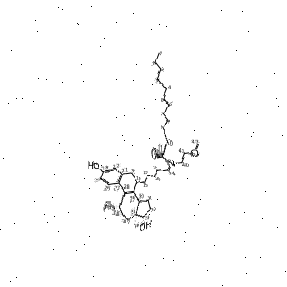 CCCCCCCCCCCC(=O)N(CCCCC[C@@H]1Cc2cc(O)ccc2C2C1C1CC[C@H](O)[C@@]1(C)C[C@@H]2F)CCOC